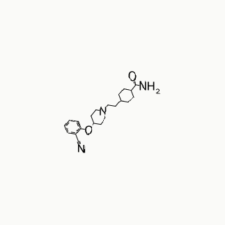 N#Cc1ccccc1OC1CCN(CCC2CCC(C(N)=O)CC2)CC1